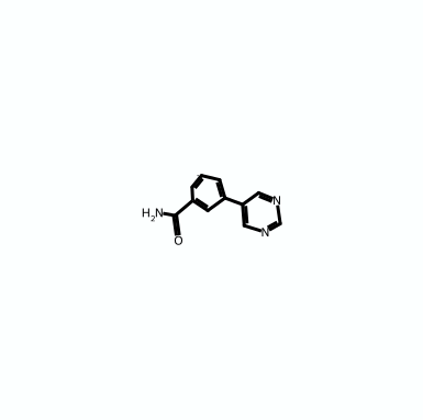 NC(=O)c1c[c]cc(-c2cncnc2)c1